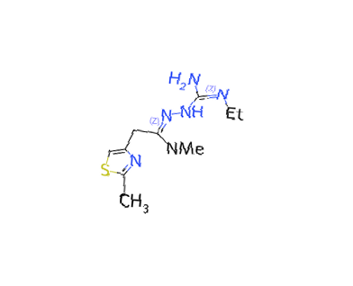 CC/N=C(/N)N/N=C(/Cc1csc(C)n1)NC